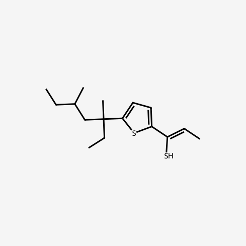 C/C=C(\S)c1ccc(C(C)(CC)CC(C)CC)s1